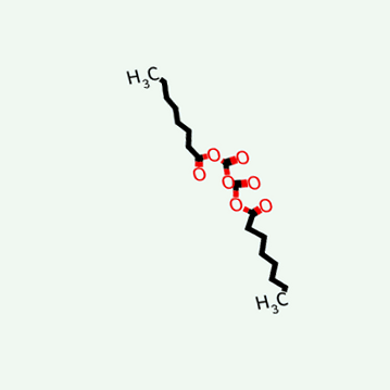 CCCCCCCC(=O)OC(=O)OC(=O)OC(=O)CCCCCCC